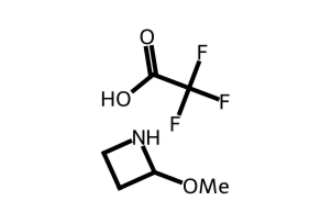 COC1CCN1.O=C(O)C(F)(F)F